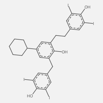 Oc1c(I)cc(CCc2cc(C3CCCCC3)cc(Cc3cc(I)c(O)c(I)c3)c2O)cc1I